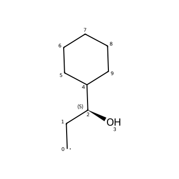 [CH2]C[C@H](O)C1CCCCC1